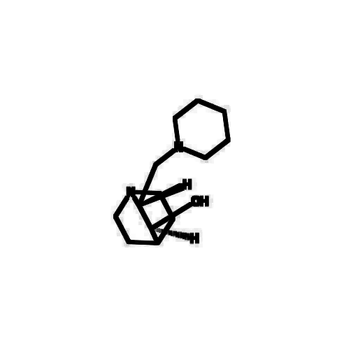 O[C@H]1C2CCN(CC2)[C@@H]1CN1CCCCC1